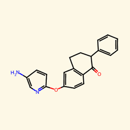 Nc1ccc(Oc2ccc3c(c2)CCC(c2ccccc2)C3=O)nc1